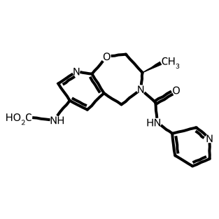 C[C@@H]1COc2ncc(NC(=O)O)cc2CN1C(=O)Nc1cccnc1